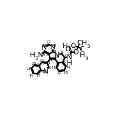 CC(C)(C)OC(=O)NC1Cn2c(c(-c3cnc4ccccc4c3)c3c(N)ncnc32)-c2ccccc21